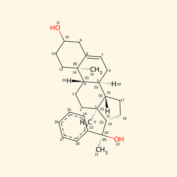 C[C@]12CC[C@H]3[C@@H](CC=C4CC(O)CC[C@@]43C)[C@@H]1CC[C@@H]2[C@@](C)(O)c1ccccc1